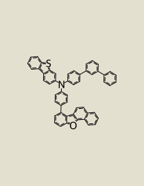 c1ccc(-c2cccc(-c3ccc(N(c4ccc(-c5cccc6oc7c8ccccc8ccc7c56)cc4)c4ccc5c(c4)sc4ccccc45)cc3)c2)cc1